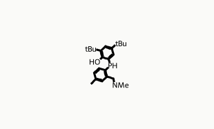 CNCc1cc(C)ccc1Pc1cc(C(C)(C)C)cc(C(C)(C)C)c1O